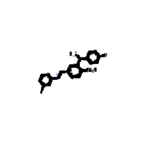 CC(c1ccc(F)cc1)c1cc(/C=C/c2cccc(F)c2)ccc1C(=O)O